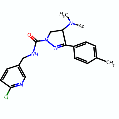 CC(=O)N(C)C1CN(C(=O)NCc2ccc(Cl)nc2)N=C1c1ccc(C)cc1